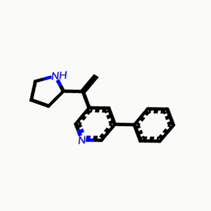 C=C(c1cncc(-c2ccccc2)c1)C1CCCN1